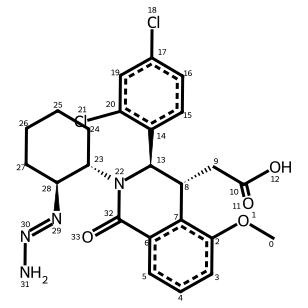 COc1cccc2c1[C@@H](CC(=O)O)[C@H](c1ccc(Cl)cc1Cl)N([C@H]1CCCC[C@@H]1N=NN)C2=O